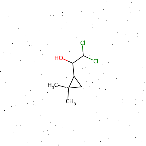 CC1(C)CC1C(O)C(Cl)Cl